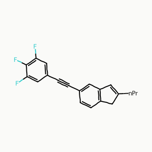 CCCC1=Cc2cc(C#Cc3cc(F)c(F)c(F)c3)ccc2C1